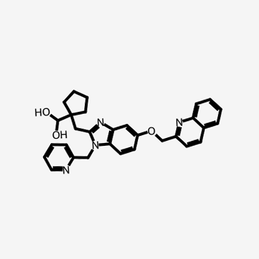 OC(O)C1(Cc2nc3cc(OCc4ccc5ccccc5n4)ccc3n2Cc2ccccn2)CCCC1